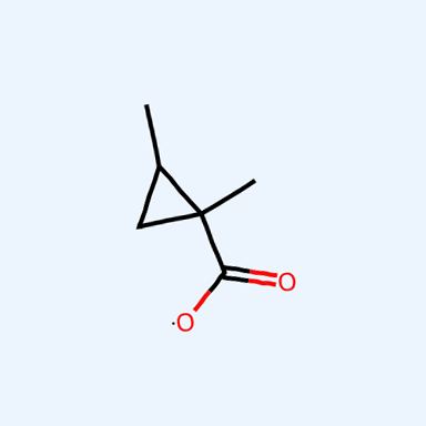 CC1CC1(C)C([O])=O